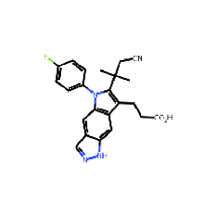 CC(C)(CC#N)c1c(CCC(=O)O)c2cc3[nH]ncc3cc2n1-c1ccc(F)cc1